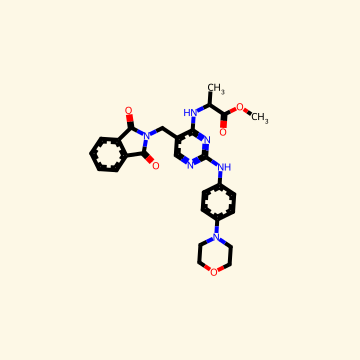 COC(=O)C(C)Nc1nc(Nc2ccc(N3CCOCC3)cc2)ncc1CN1C(=O)c2ccccc2C1=O